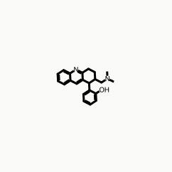 CN(C)CC1CCc2nc3ccccc3cc2C1c1ccccc1O